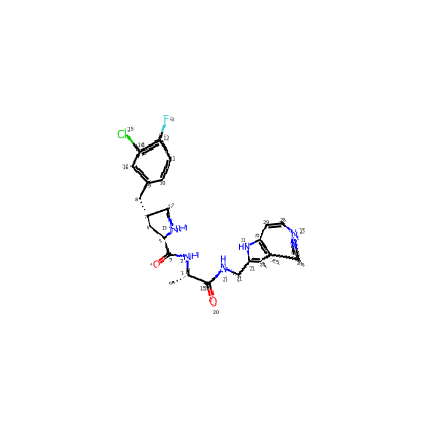 C[C@H](NC(=O)[C@H]1C[C@H](Cc2ccc(F)c(Cl)c2)CN1)C(=O)NCc1cc2cnccc2[nH]1